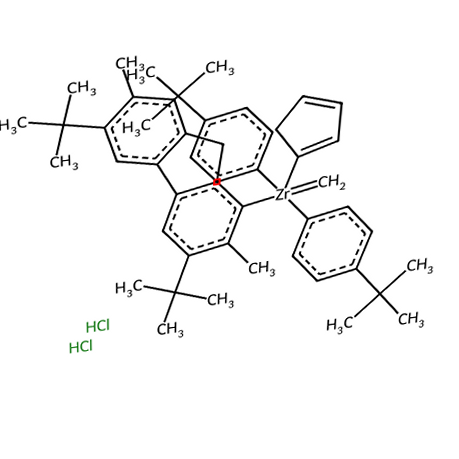 Cl.Cl.[CH2]=[Zr]([C]1=CC=CC1)([c]1ccc(C(C)(C)C)cc1)([c]1ccc(C(C)(C)C)cc1)[c]1c(C)c(C(C)(C)C)cc2c1Cc1cc(C)c(C(C)(C)C)cc1-2